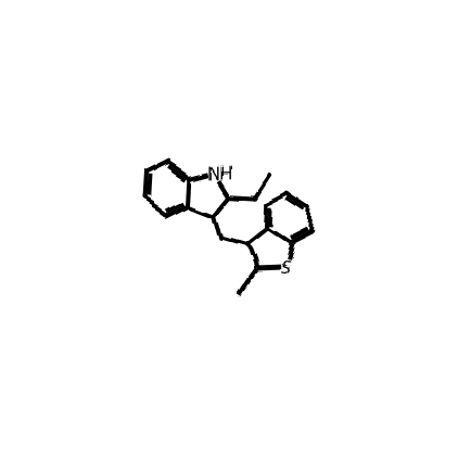 CCC1Nc2ccccc2C1CC1c2ccccc2SC1C